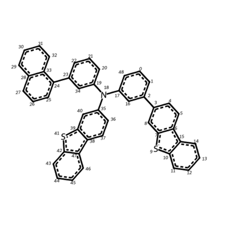 c1cc(-c2ccc3c(c2)sc2ccccc23)cc(N(c2cccc(-c3cccc4ccccc34)c2)c2ccc3c(c2)sc2ccccc23)c1